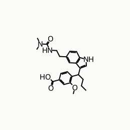 CCCC(c1ccc(C(=O)O)cc1OC)c1c[nH]c2ccc(CCNC(=O)N(C)C)cc12